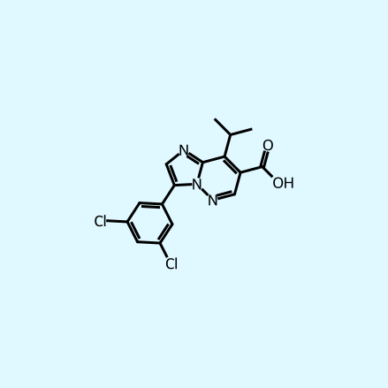 CC(C)c1c(C(=O)O)cnn2c(-c3cc(Cl)cc(Cl)c3)cnc12